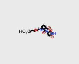 O=C(O)CCCOCCNc1cccc2c1C(=O)N(C1CCC(=O)NC1=O)C2=O